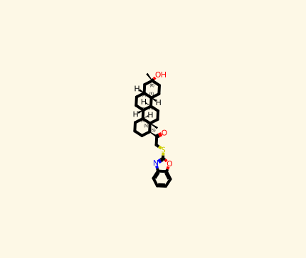 C[C@@]1(O)CC[C@H]2[C@H](CC[C@@H]3[C@@H]2CC[C@]2(C)[C@@H](C(=O)CSc4nc5ccccc5o4)CCC[C@@H]32)C1